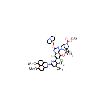 COc1ccc(CN(Cc2ccc(OC)cc2)c2cc(C)c(C(F)(F)F)c(-c3c(Cl)c4c5c(nc(OC[C@@]67CCCN6C[C@H](F)C7)nc5c3F)N3CC5CC[C@H](CN5C(=O)OC(C)(C)C)[C@H]3[C@H](C)O4)n2)cc1